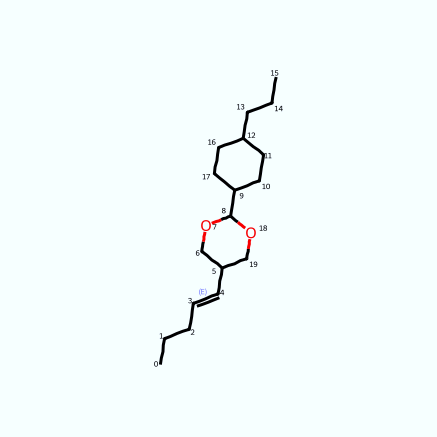 CCC/C=C/C1COC(C2CCC(CCC)CC2)OC1